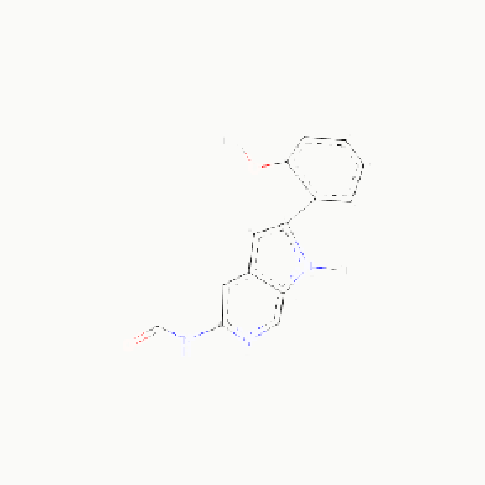 COc1ccccc1-c1cc2cc(NC=O)ncc2n1C